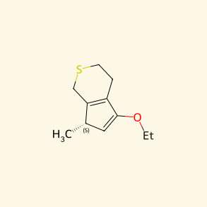 CCOC1=C[C@H](C)C2=C1CCSC2